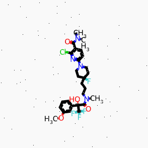 COc1cccc([C@@](O)(C(=O)N(C)CCCC2(F)CCN(c3ccc(C(=O)N(C)C)c(Cl)n3)CC2)C(F)(F)F)c1